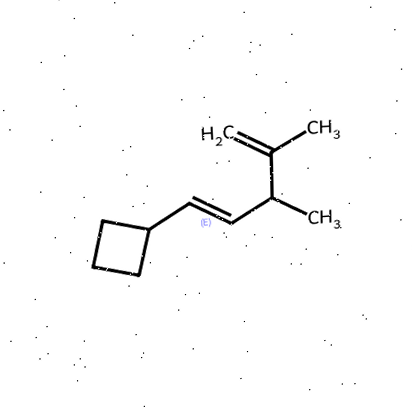 C=C(C)C(C)/C=C/C1CCC1